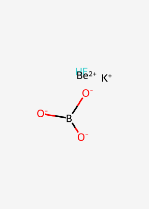 F.[Be+2].[K+].[O-]B([O-])[O-]